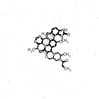 C=CC(=O)N1CC2COc3c(c4cc(Cl)c(-c5c(C)ccc6[nH]c(=O)n(C)c56)c(F)c4n(-c4c(C(C)C)ncnc4C(C)C)c3=O)N2CC1C